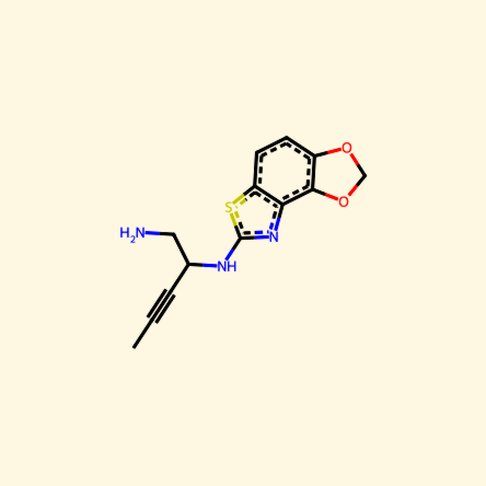 CC#CC(CN)Nc1nc2c3c(ccc2s1)OCO3